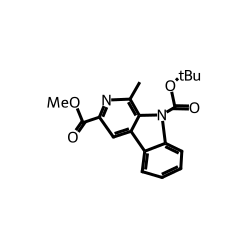 COC(=O)c1cc2c3ccccc3n(C(=O)OC(C)(C)C)c2c(C)n1